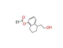 CCC(=O)Oc1cccc2c1CCCC2CCO